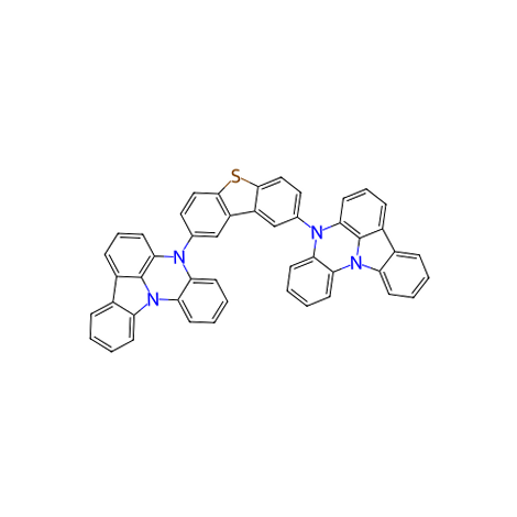 c1ccc2c(c1)N(c1ccc3sc4ccc(N5c6ccccc6-n6c7ccccc7c7cccc5c76)cc4c3c1)c1cccc3c4ccccc4n-2c13